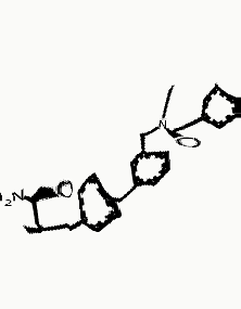 CC(Cc1ccc(-c2cccc(CN(C)C(=O)c3ccccc3)c2)cc1)C(N)=O